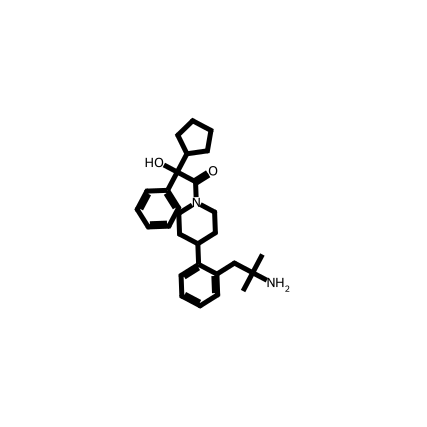 CC(C)(N)Cc1ccccc1C1CCN(C(=O)C(O)(c2ccccc2)C2CCCC2)CC1